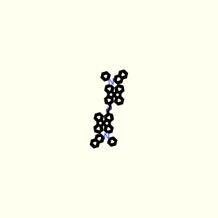 C(=C\c1ccc2c(c1)C1(c3ccccc3-c3ccccc31)c1cc(N(c3ccccc3)c3ccc4ccccc4c3)ccc1-2)/c1ccc2c(c1)C1(c3ccccc3-c3ccccc31)c1cc(N(c3ccccc3)c3ccc4ccccc4c3)ccc1-2